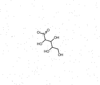 O=[N+]([O-])C(O)C(O)C(O)CO